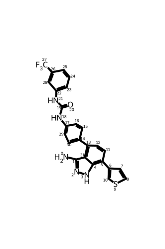 Nc1n[nH]c2c(-c3ccsc3)ccc(-c3ccc(NC(=O)Nc4cccc(C(F)(F)F)c4)cc3)c12